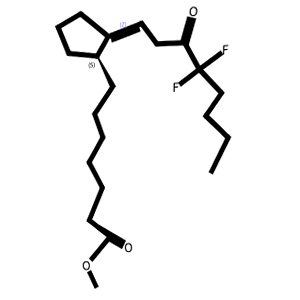 CCCCC(F)(F)C(=O)C/C=C1/CCC[C@@H]1CCCCCCC(=O)OC